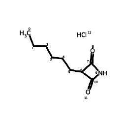 CCCCCCC1C(=O)NC1=O.Cl